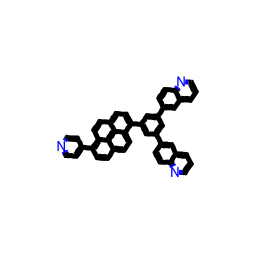 c1cnc2ccc(-c3cc(-c4ccc5ncccc5c4)cc(-c4ccc5ccc6c(-c7ccncc7)ccc7ccc4c5c76)c3)cc2c1